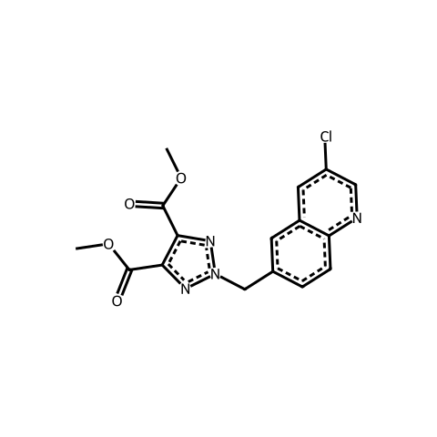 COC(=O)c1nn(Cc2ccc3ncc(Cl)cc3c2)nc1C(=O)OC